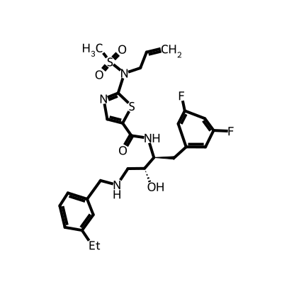 C=CCN(c1ncc(C(=O)N[C@@H](Cc2cc(F)cc(F)c2)[C@H](O)CNCc2cccc(CC)c2)s1)S(C)(=O)=O